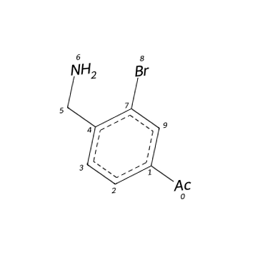 CC(=O)c1ccc(CN)c(Br)c1